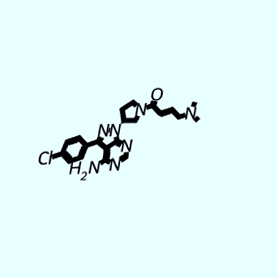 CN(C)C/C=C/C(=O)N1CC[C@@H](n2nc(-c3ccc(Cl)cc3)c3c(N)ncnc32)C1